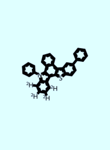 [2H]c1c([2H])c([2H])c2c(c1[2H])c1c3sc4ccc(-c5ccccc5)cc4c3c3ccccc3c1n2-c1ccccc1